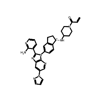 C=CC(=O)N1CCC(N[C@H]2CCc3cc(-n4c(-c5cccnc5N)nc5cc(-n6cccn6)cnc54)ccc32)CC1